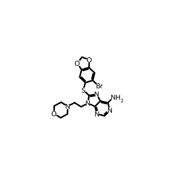 Nc1ncnc2c1nc(Sc1cc3c(cc1Br)OCO3)n2CCN1CCOCC1